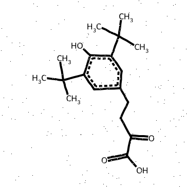 CC(C)(C)c1cc(CCC(=O)C(=O)O)cc(C(C)(C)C)c1O